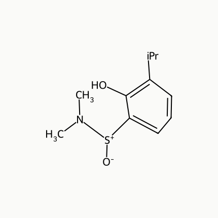 CC(C)c1cccc([S+]([O-])N(C)C)c1O